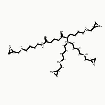 O=C(CCCC(=O)N(CCCCOCC1CO1)N(CCCCOCC1CO1)CCCCOCC1CO1)NCCCCOCC1CO1